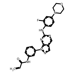 C=CC(=O)Nc1cccc(-n2ncc3cnc(Nc4ccc(N5CCOCC5)cc4F)nc32)c1